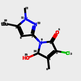 CC1=C(Cl)C(=O)N(c2cc(C(C)(C)C)n(C)n2)C1O